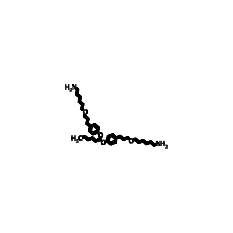 CCCCCC(Oc1ccc(CCCOCCCCCCN)cc1)Oc1ccc(CCCOCCCCCCN)cc1